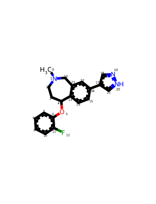 CN1CCC(Oc2ccccc2F)c2ccc(-c3cn[nH]c3)cc2C1